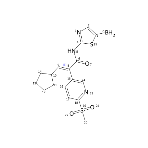 Bc1cnc(NC(=O)/C(=C/C2CCCC2)c2ccc(S(C)(=O)=O)nc2)s1